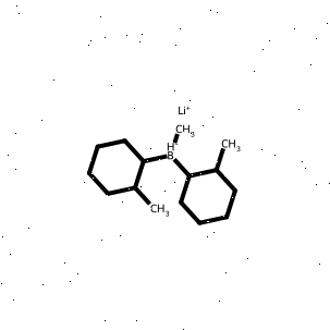 C[BH-](C1CCCCC1C)C1CCCCC1C.[Li+]